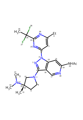 CCc1cc(-n2nc(N3CC[C@](C)(N(C)C)C3)c3cnc(NC(C)=O)cc32)nc(C(C)(F)F)n1